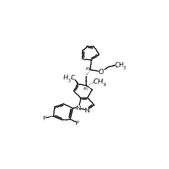 CCO[C@H](C[C@@]1(C)Cc2cnn(-c3ccc(F)cc3F)c2C=C1C)c1ccccc1